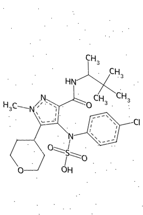 CC(NC(=O)c1nn(C)c(C2CCOCC2)c1N(c1ccc(Cl)cc1)S(=O)(=O)O)C(C)(C)C